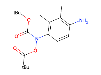 Cc1c(N)ccc(N(OC(=O)C(C)(C)C)C(=O)OC(C)(C)C)c1C